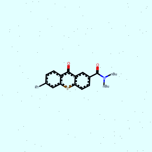 CCCCN(CCCC)C(=O)c1ccc2sc3cc(C(C)C)ccc3c(=O)c2c1